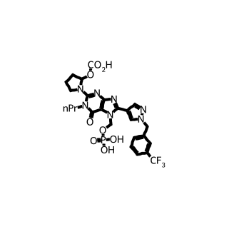 CCCn1c(N2CCCC2OC(=O)O)nc2nc(-c3cnn(Cc4cccc(C(F)(F)F)c4)c3)n(COP(=O)(O)O)c2c1=O